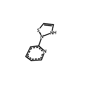 C1=CSN(c2ccccn2)N1